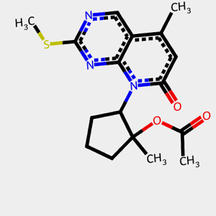 CSc1ncc2c(C)cc(=O)n(C3CCCC3(C)OC(C)=O)c2n1